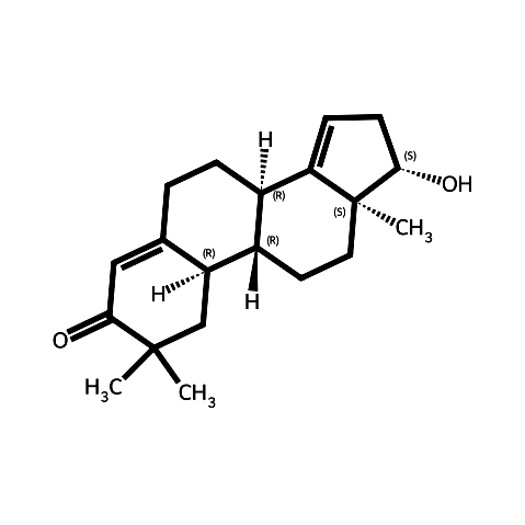 CC1(C)C[C@H]2C(=CC1=O)CC[C@H]1C3=CC[C@H](O)[C@@]3(C)CC[C@H]21